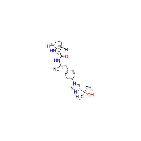 CC(C)(O)c1cn(-c2ccc(C[C@@H](C#N)NC(=O)[C@H]3N[C@@H]4CC[C@H]3C4)cc2)nn1